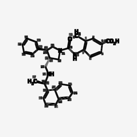 Cc1cc(C(=O)O)ccc1NC(=O)N1C[C@H](CN[C@H](C)c2cccc3ccccc23)[C@@H](c2ccccc2)C1